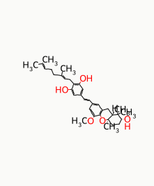 COc1cc(/C=C/c2cc(O)c(C/C=C(\C)CCC=C(C)C)c(O)c2)cc2c1O[C@]1(C)CC[C@@H](O)C(C)(C)[C@H]1C2